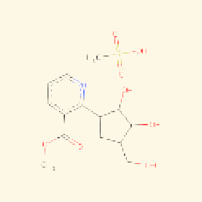 COC(=O)c1cccnc1C1CC(CO)C(O)C1O.CS(=O)(=O)O